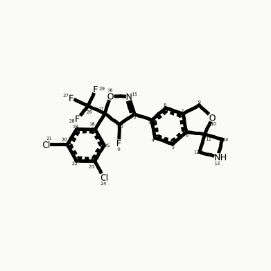 FC1C(c2ccc3c(c2)COC32CNC2)=NOC1(c1cc(Cl)cc(Cl)c1)C(F)(F)F